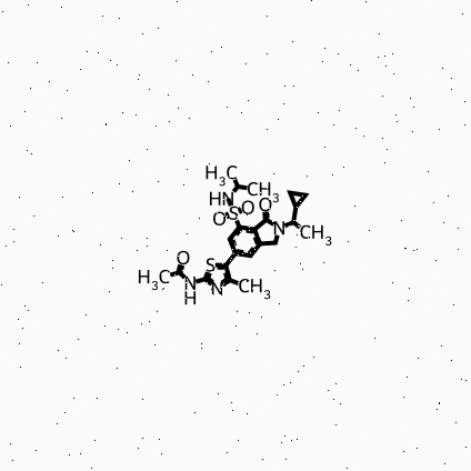 CC(=O)Nc1nc(C)c(-c2cc3c(c(S(=O)(=O)NC(C)C)c2)C(=O)N(C(C)C2CC2)C3)s1